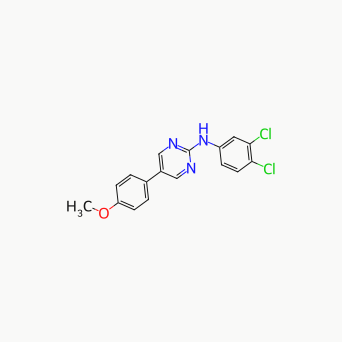 COc1ccc(-c2cnc(Nc3ccc(Cl)c(Cl)c3)nc2)cc1